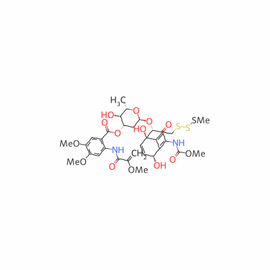 C=C(OC)C(=O)Nc1cc(OC)c(OC)cc1C(=O)O[C@H]1C[C@H](O[C@@H]2C(=O)C(NC(=O)OC)=C3/C(=C\CSSSC)[C@]2(O)C=C[C@@H]3O)O[C@@H](C)[C@@H]1O